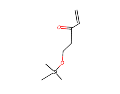 C=CC(=O)CCO[Si](C)(C)C